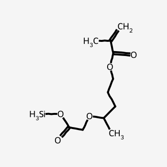 C=C(C)C(=O)OCCCC(C)OCC(=O)O[SiH3]